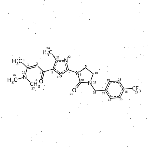 CC(=CC(=O)c1sc(N2CCN(Cc3ccc(C(F)(F)F)cc3)C2=O)nc1C)N(C)C